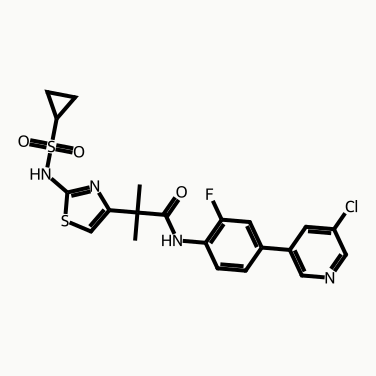 CC(C)(C(=O)Nc1ccc(-c2cncc(Cl)c2)cc1F)c1csc(NS(=O)(=O)C2CC2)n1